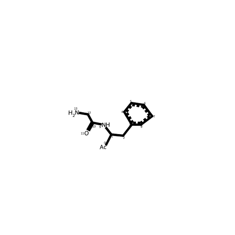 CC(=O)C(Cc1ccccc1)NC(=O)CN